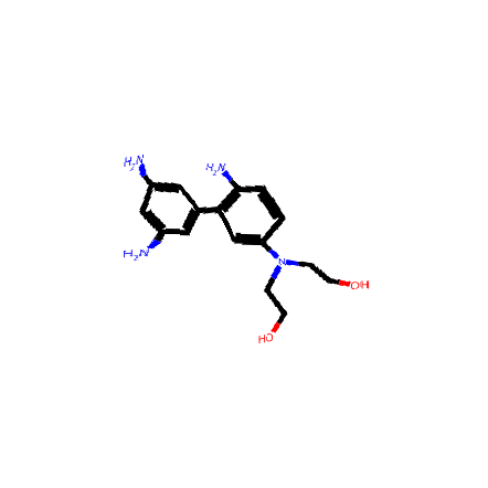 Nc1cc(N)cc(-c2cc(N(CCO)CCO)ccc2N)c1